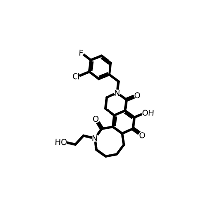 O=C1C(O)=C2C(=O)N(Cc3ccc(F)c(Cl)c3)CCC2=C2C(=O)N(CCO)CCCCC12